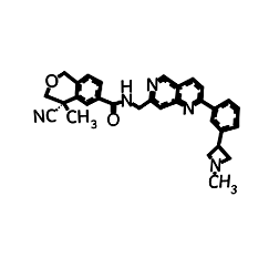 CN1CC(c2cccc(-c3ccc4cnc(CNC(=O)c5ccc6c(c5)[C@](C)(C#N)COC6)cc4n3)c2)C1